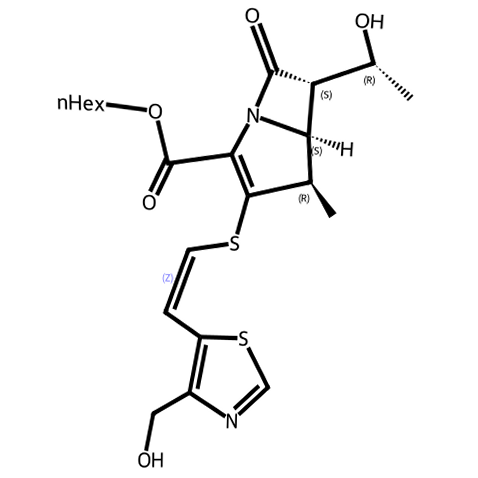 CCCCCCOC(=O)C1=C(S/C=C\c2scnc2CO)[C@H](C)[C@@H]2[C@@H]([C@@H](C)O)C(=O)N12